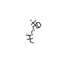 CCC(C)(C)C(=O)OCOCC1(C(F)(F)F)CC2CCC1C2